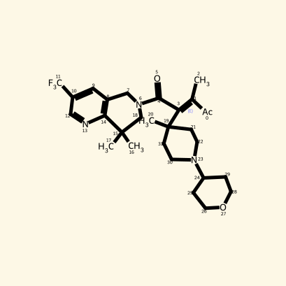 CC(=O)/C(C)=C(/C(=O)N1Cc2cc(C(F)(F)F)cnc2C(C)(C)C1)C1(C)CCN(C2CCOCC2)CC1